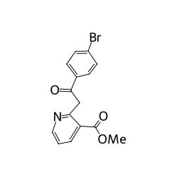 COC(=O)c1cccnc1CC(=O)c1ccc(Br)cc1